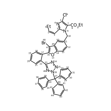 CC/C=C\c1nc(Cl)c(C(=O)OCC)n1Cc1ccc2oc(-c3ccccc3-c3nnn(C(c4ccccc4)(c4ccccc4)c4ccccc4)n3)c(Br)c2c1